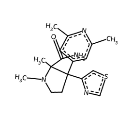 Cc1cc(C2(c3cscn3)CCN(C)C2(C)C(N)=O)cc(C)n1